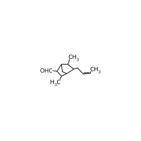 C/C=C\CC1C(C)C2CC1C(C)C2C=O